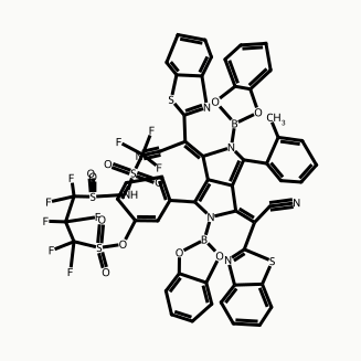 Cc1ccccc1-c1c2/c(=C(\C#N)c3nc4ccccc4s3)n(B3Oc4ccccc4O3)c(-c3cccc(OS(=O)(=O)C(F)(F)C(F)(F)C(F)(F)S(=O)(=O)NS(=O)(=O)C(F)(F)F)c3)c2/c(=C(\C#N)c2nc3ccccc3s2)n1B1Oc2ccccc2O1